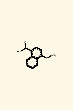 COc1ccc(C(C)N)c2ccccc12